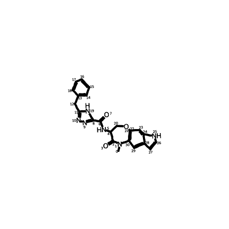 CN1C(=O)C(NC(=O)c2nnc(Cc3ccccc3)[nH]2)COc2cc3[nH]ccc3cc21